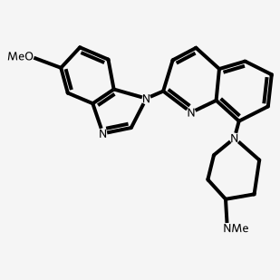 CNC1CCN(c2cccc3ccc(-n4cnc5cc(OC)ccc54)nc23)CC1